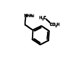 CC(=O)NCc1ccccc1.CC(=O)O